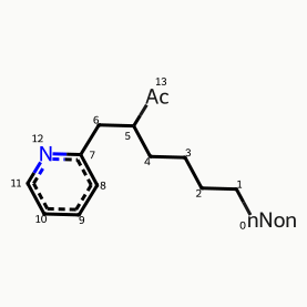 CCCCCCCCCCCCCC(Cc1ccccn1)C(C)=O